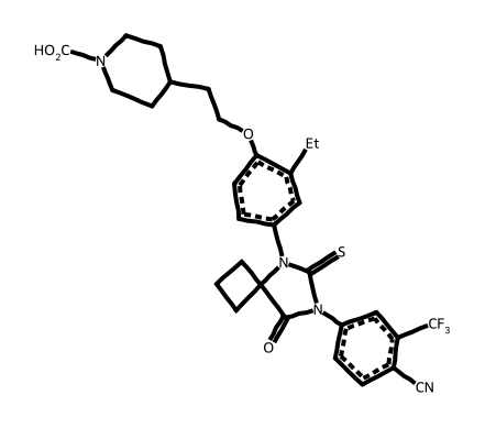 CCc1cc(N2C(=S)N(c3ccc(C#N)c(C(F)(F)F)c3)C(=O)C23CCC3)ccc1OCCC1CCN(C(=O)O)CC1